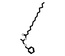 CCCCCCCCCCCCCCCC(=O)OC(C)COCc1ccccc1